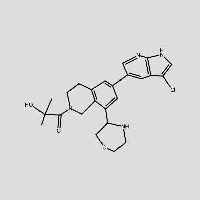 CC(C)(O)C(=O)N1CCc2cc(-c3cnc4[nH]cc(Cl)c4c3)cc(C3COCCN3)c2C1